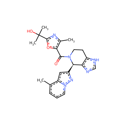 Cc1nc(C(C)(C)O)oc1C(=O)N1CCc2[nH]cnc2[C@H]1c1cc2c(C)cccn2n1